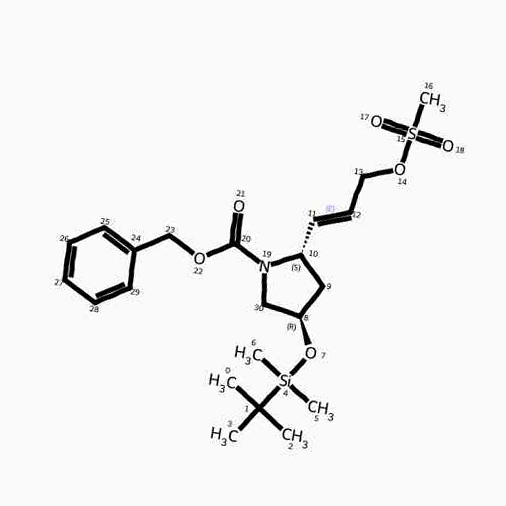 CC(C)(C)[Si](C)(C)O[C@@H]1C[C@@H](/C=C/COS(C)(=O)=O)N(C(=O)OCc2ccccc2)C1